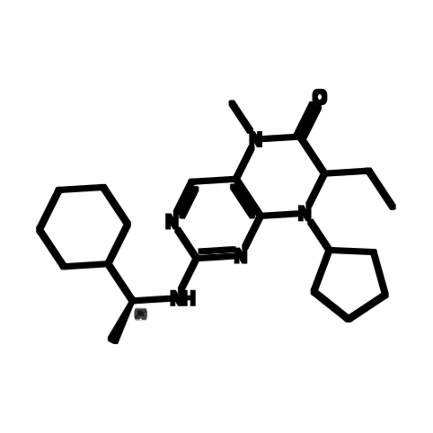 CCC1C(=O)N(C)c2cnc(N[C@@H](C)C3CCCCC3)nc2N1C1CCCC1